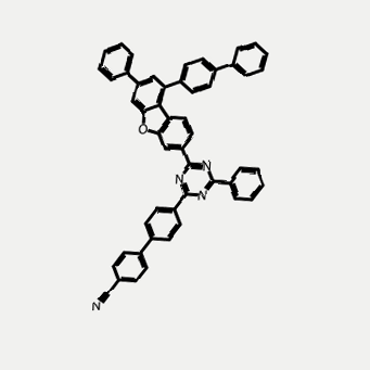 N#Cc1ccc(-c2ccc(-c3nc(-c4ccccc4)nc(-c4ccc5c(c4)oc4cc(-c6ccccc6)cc(-c6ccc(-c7ccccc7)cc6)c45)n3)cc2)cc1